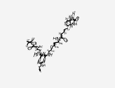 C#CCNc1nc(NCCNC(=O)OC(C)(C)C)nc(NCCOCCCNC(=O)CCCC[C@@H]2SC[C@@H]3NC(=O)N[C@@H]32)n1